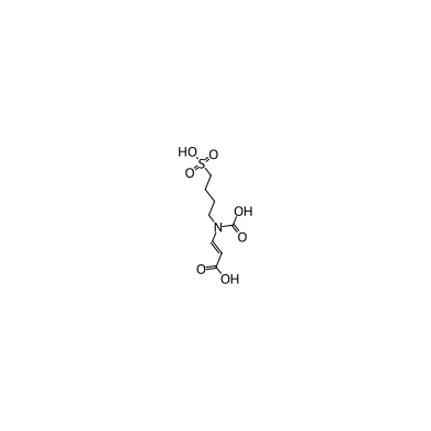 O=C(O)C=CN(CCCCS(=O)(=O)O)C(=O)O